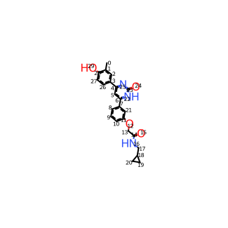 Cc1cc(-c2cc(-c3cccc(OCC(=O)NCC4CC4)c3)[nH]c(=O)n2)ccc1O